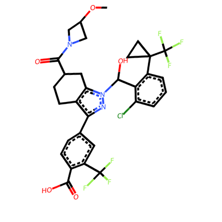 COC1CN(C(=O)C2CCc3c(-c4ccc(C(=O)O)c(C(F)(F)F)c4)nn(C(O)c4c(Cl)cccc4C4(C(F)(F)F)CC4)c3C2)C1